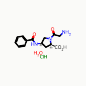 Cl.NCC(=O)N1C[C@H](NC(=O)c2ccccc2)C[C@@H]1C(=O)O.O